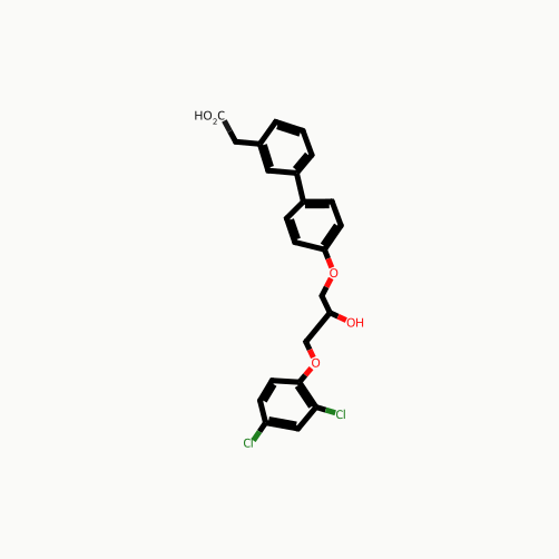 O=C(O)Cc1cccc(-c2ccc(OCC(O)COc3ccc(Cl)cc3Cl)cc2)c1